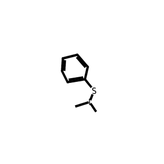 CI(C)Sc1ccccc1